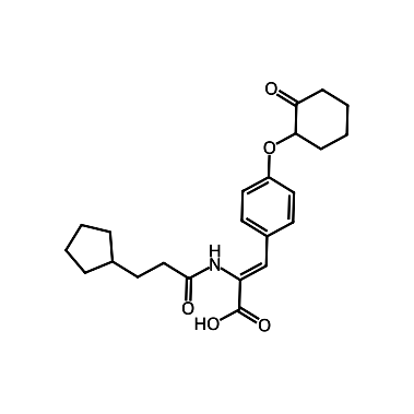 O=C(CCC1CCCC1)NC(=Cc1ccc(OC2CCCCC2=O)cc1)C(=O)O